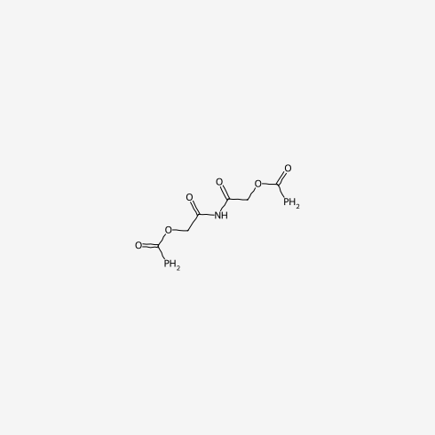 O=C(COC(=O)P)NC(=O)COC(=O)P